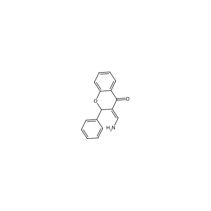 NC=C1C(=O)c2ccccc2OC1c1ccccc1